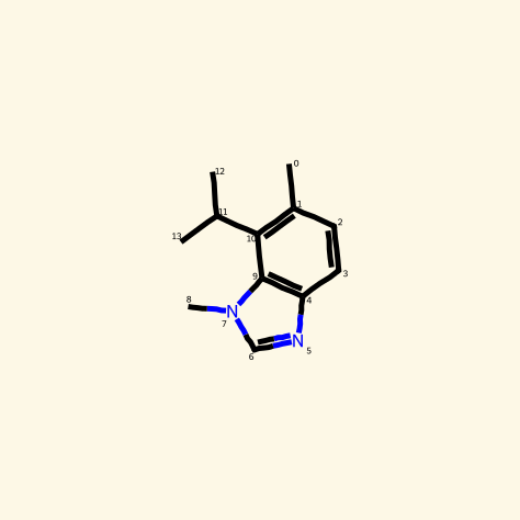 Cc1ccc2ncn(C)c2c1C(C)C